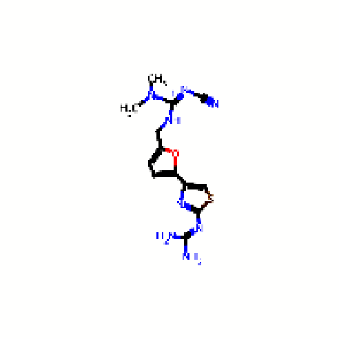 CN(C)/C(=N/C#N)NCc1ccc(-c2csc(N=C(N)N)n2)o1